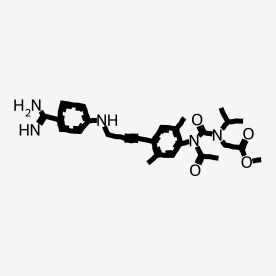 COC(=O)CN(C(=O)N(C(C)=O)c1cc(C)c(C#CCNc2ccc(C(=N)N)cc2)cc1C)C(C)C